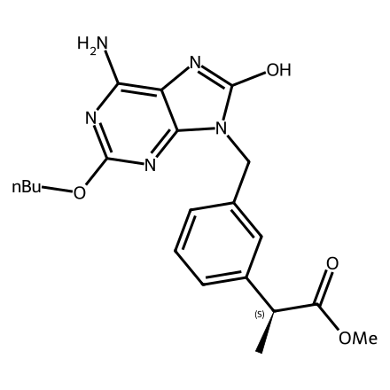 CCCCOc1nc(N)c2nc(O)n(Cc3cccc([C@H](C)C(=O)OC)c3)c2n1